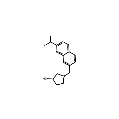 OC1CCN(Cc2cnc3cnc(C(F)F)nc3c2)C1